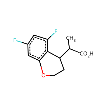 CC(C(=O)O)C1CCOc2cc(F)cc(F)c21